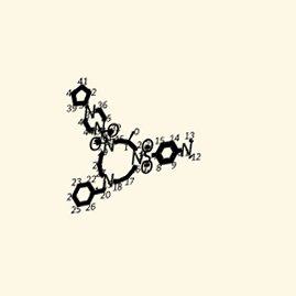 C[C@H]1CN(S(=O)(=O)c2ccc(N(C)C)cc2)CCCN(CC2CCCCC2)CCCN(S(=O)(=O)N2CCN(C3CCCC3)CC2)C1